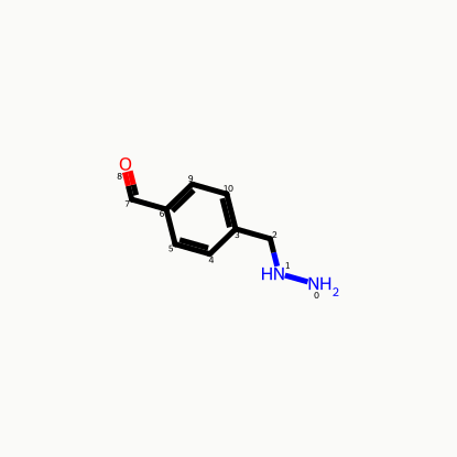 NNCc1ccc(C=O)cc1